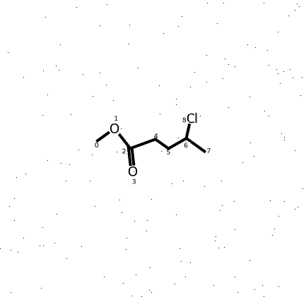 COC(=O)CCC(C)Cl